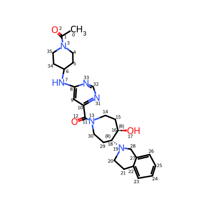 CC(=O)N1CCC(Nc2cc(C(=O)N3CC[C@@H](O)[C@H](N4CCc5ccccc5C4)CC3)ncn2)CC1